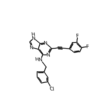 Fc1ccc(C#Cc2nc(NCc3cccc(Cl)c3)c3nc[nH]c3n2)cc1F